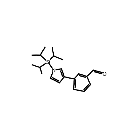 CC(C)[Si](C(C)C)(C(C)C)n1ccc(-c2cccc(C=O)c2)c1